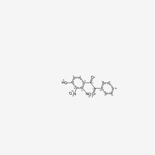 O=C(C(=O)c1ccc(O)c([N+](=O)[O-])c1[N+](=O)[O-])c1ccccc1